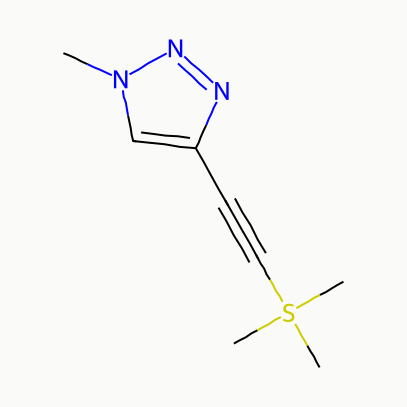 Cn1cc(C#CS(C)(C)C)nn1